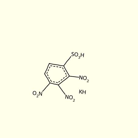 O=[N+]([O-])c1ccc(S(=O)(=O)O)c([N+](=O)[O-])c1[N+](=O)[O-].[KH]